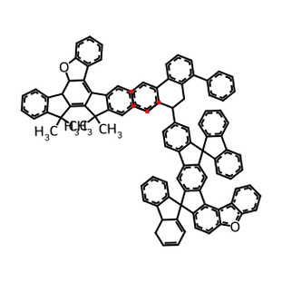 CC1(C)C2=C3C(c4ccccc4C3(C)C)C3Oc4ccccc4C3=C2c2ccc(CCC(Cc3c(-c4ccccc4)cccc3-c3ccccc3)c3ccc4c(c3)C3(c5ccccc5-c5ccccc53)c3cc5c(cc3-4)C3(C4=CC=CCC4c4ccccc43)c3ccc4oc6ccccc6c4c3-5)cc21